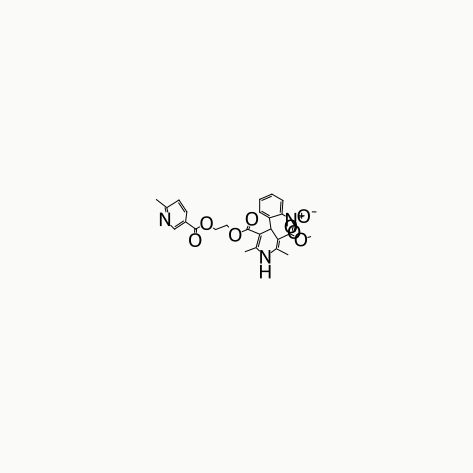 COC(=O)C1=C(C)NC(C)=C(C(=O)OCCOC(=O)c2ccc(C)nc2)C1c1ccccc1[N+](=O)[O-]